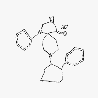 Cl.O=C1NCN(c2ccccc2)C12CCN(C1CCCCC1c1ccccc1)CC2